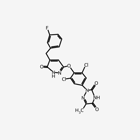 Cc1nn(-c2cc(Cl)c(Oc3cc(Cc4cccc(F)c4)c(=O)[nH]n3)c(Cl)c2)c(=O)[nH]c1=O